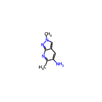 Cc1nc2nn(C)cc2cc1N